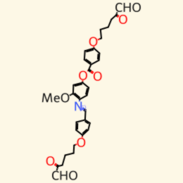 COc1cc(OC(=O)c2ccc(OCCCCC(=O)C=O)cc2)ccc1/N=C/c1ccc(OCCCCC(=O)C=O)cc1